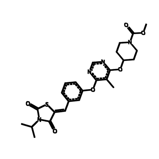 COC(=O)N1CCC(Oc2ncnc(Oc3cccc(/C=C4\SC(=O)N(C(C)C)C4=O)c3)c2C)CC1